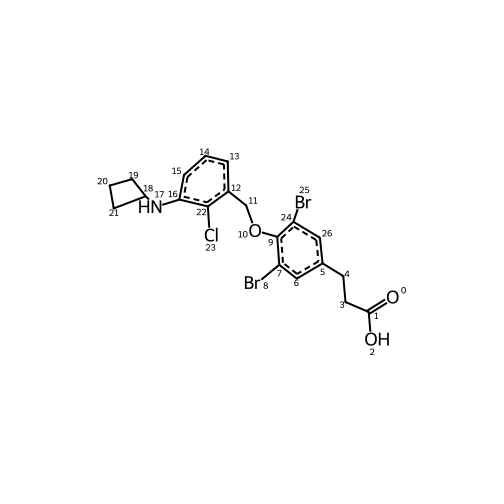 O=C(O)CCc1cc(Br)c(OCc2cccc(NC3CCC3)c2Cl)c(Br)c1